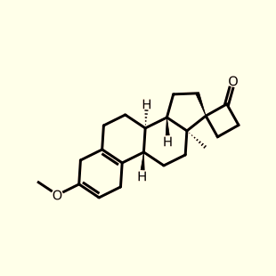 COC1=CCC2=C(CC[C@@H]3[C@@H]2CC[C@@]2(C)[C@H]3CC[C@@]23CCC3=O)C1